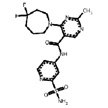 Cc1ncc(C(=O)Nc2ccnc(S(N)(=O)=O)c2)c(N2CCCC(F)(F)CC2)n1